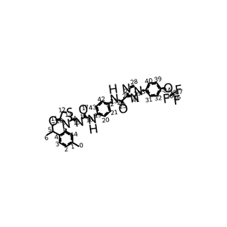 Cc1ccc(C(C)C)c(N2C(=O)CSC2=NC(=O)Nc2ccc(NC(=O)c3ncn(-c4ccc(OC(F)(F)F)cc4)n3)cc2)c1